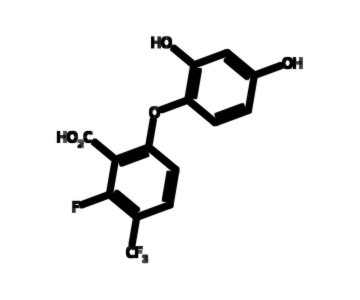 O=C(O)c1c(Oc2ccc(O)cc2O)ccc(C(F)(F)F)c1F